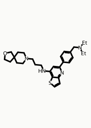 CCN(CC)Cc1ccc(-c2cc(NCCCN3CCC4(CCOC4)CC3)c3sccc3n2)cc1